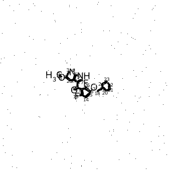 COc1cnc2[nH]cc(C(=O)c3c(F)ccc(OCc4ccccc4)c3F)c2c1